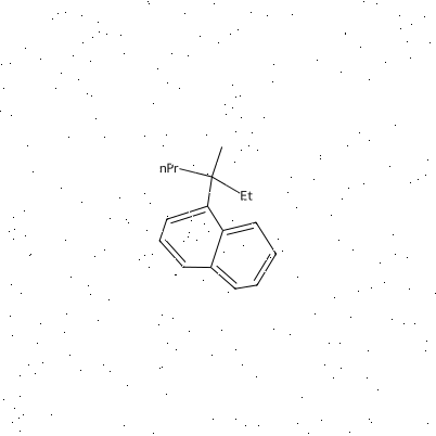 CCCC(C)(CC)c1cccc2ccccc12